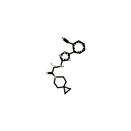 C[C@H](Nc1nnc(-c2ccccc2C#N)o1)C(=O)N1CCC2(CC1)CC2